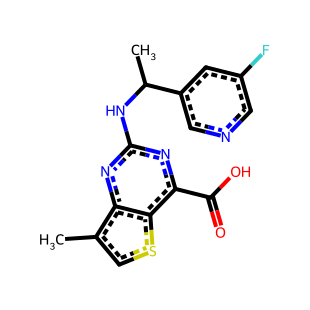 Cc1csc2c(C(=O)O)nc(NC(C)c3cncc(F)c3)nc12